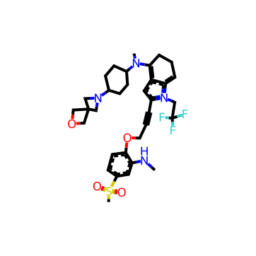 CNc1cc(S(C)(=O)=O)ccc1OCC#Cc1cc2c(n1CC(F)(F)F)=CCCC=2N(C)C1CCC(N2CC3(COC3)C2)CC1